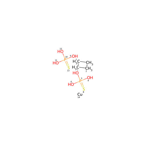 CC.CC.OP(O)(O)=S.OP(O)(O)=S.[Cu]